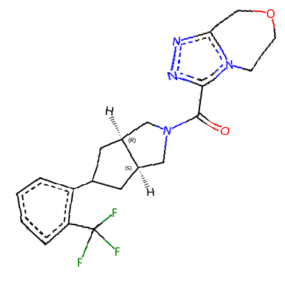 O=C(c1nnc2n1CCOC2)N1C[C@H]2CC(c3ccccc3C(F)(F)F)C[C@H]2C1